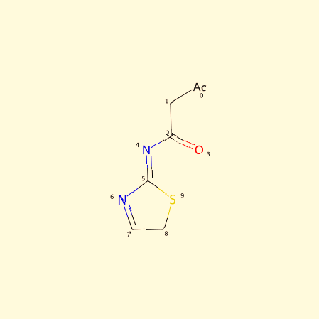 CC(=O)CC(=O)N=C1N=CCS1